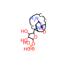 NC1=N\C23CCCCCCCCC(C4OC(OP(=O)(O)O)C(O)C4O)(NC2=O)C(/C=C\1)CC3